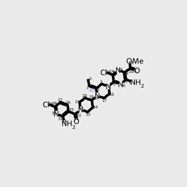 C/C=C1\CN(c2nc(N)c(C(=O)OC)nc2Cl)CCN1C1CCN(C(=O)c2ccc(Cl)nc2N)CC1